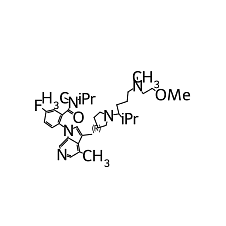 COCCN(C)CCCC(C(C)C)N1CC[C@@H](Cc2cn(-c3ccc(F)cc3C(=O)N(C)C(C)C)c3cncc(C)c23)C1